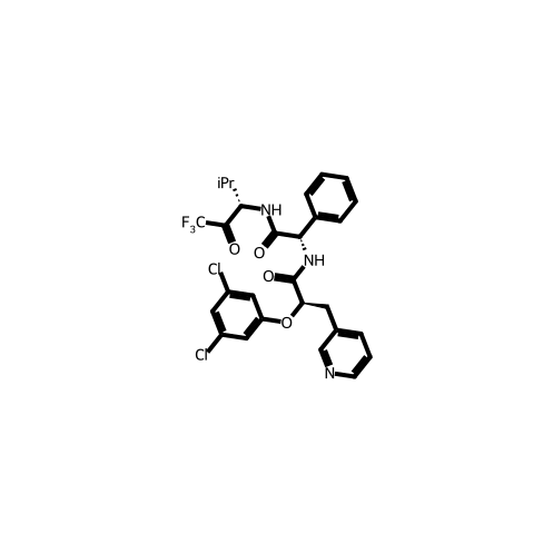 CC(C)[C@H](NC(=O)[C@@H](NC(=O)[C@@H](Cc1cccnc1)Oc1cc(Cl)cc(Cl)c1)c1ccccc1)C(=O)C(F)(F)F